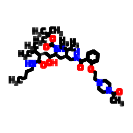 CCCCNC(=O)[C@@H](C[C@H](O)[C@H](C[C@H](CNC(=O)c1ccccc1OCCN1CCN(C(C)=O)CC1)C(C)C)NC(=O)OC(C)(C)C)C(C)C